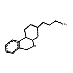 CCCCC1CCC2c3ccccc3CNC2C1